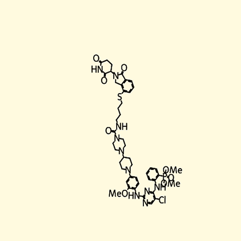 COc1cc(N2CCC(N3CCN(C(=O)NCCCCSc4cccc5c4CN(C4CCC(=O)NC4=O)C5=O)CC3)CC2)ccc1Nc1ncc(Cl)c(Nc2ccccc2P(=O)(OC)OC)n1